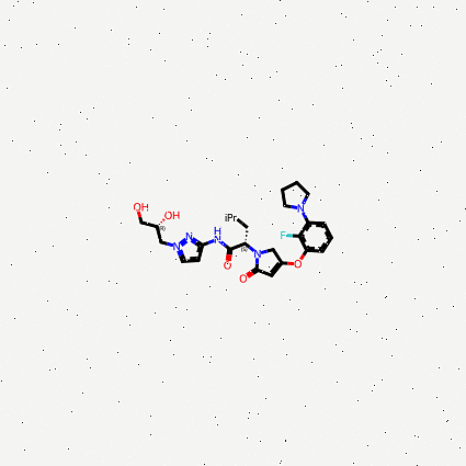 CC(C)C[C@@H](C(=O)Nc1ccn(C[C@@H](O)CO)n1)N1CC(Oc2cccc(N3CCCC3)c2F)=CC1=O